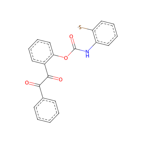 O=C(Nc1ccccc1[S])Oc1ccccc1C(=O)C(=O)c1ccccc1